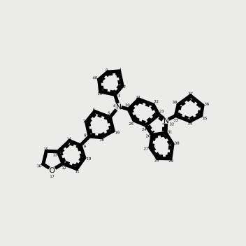 c1ccc(N(c2ccc(-c3ccc4c(c3)CCO4)cc2)c2ccc3c(c2)c2ccccc2n3-c2ccccc2)cc1